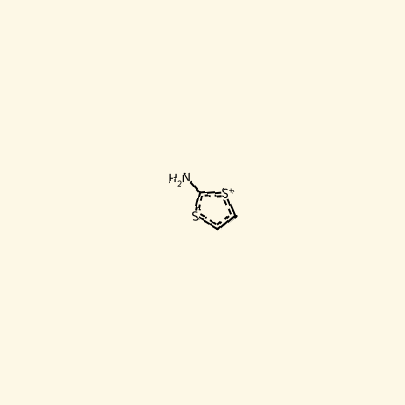 Nc1scc[s+]1